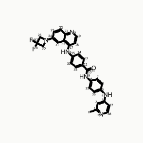 Cc1cc(Nc2ccc(NC(=O)c3ccc(Nc4ccnc5ccc(N6CC(F)(F)C6)cc45)cc3)cc2)ccn1